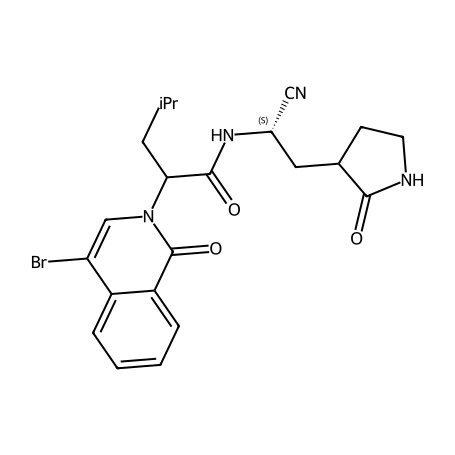 CC(C)CC(C(=O)N[C@H](C#N)CC1CCNC1=O)n1cc(Br)c2ccccc2c1=O